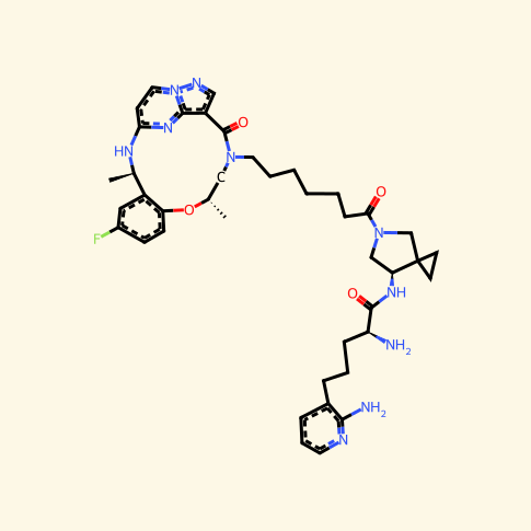 C[C@H]1CN(CCCCCCC(=O)N2C[C@H](NC(=O)[C@@H](N)CCCc3cccnc3N)C3(CC3)C2)C(=O)c2cnn3ccc(nc23)N[C@H](C)c2cc(F)ccc2O1